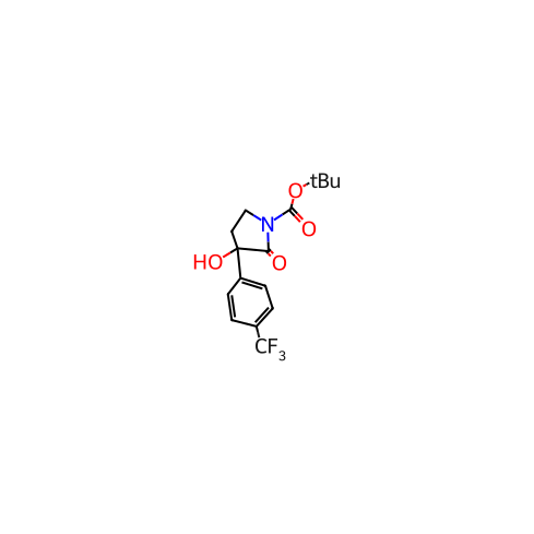 CC(C)(C)OC(=O)N1CCC(O)(c2ccc(C(F)(F)F)cc2)C1=O